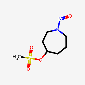 CS(=O)(=O)OC1CCCN(N=O)CC1